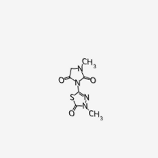 CN1CC(=O)N(c2nn(C)c(=O)s2)C1=O